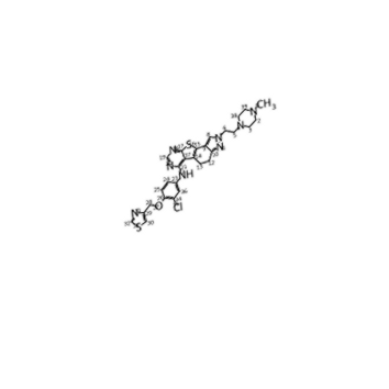 CN1CCN(CCn2cc3c(n2)CCc2c-3sc3ncnc(Nc4ccc(OCc5cscn5)c(Cl)c4)c23)CC1